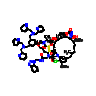 COc1cc2cc(c1Cl)N(C)C(=O)CC(OC(=O)[C@H](C)N(C)C(=O)SSCCC(=O)N(CCCCOc1cc(CN(Cc3ccccn3)Cc3ccccn3)cc(CN(Cc3ccccn3)Cc3ccccn3)c1)CC(=O)NCn1nnc3ccccc31)[C@@]1(C)O[C@H]1C(C)[C@@H]1C[C@@](O)(NC(=O)O1)C(OC)/C=C/C=C(\C)C2